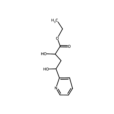 CCOC(=O)C(O)CC(O)c1ccccn1